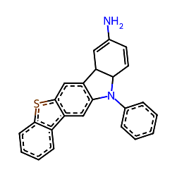 NC1=CC2c3cc4sc5ccccc5c4cc3N(c3ccccc3)C2C=C1